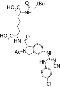 CC(=O)N1Cc2cc(NC(=NC#N)Nc3ccc(Cl)cc3)ccc2C1C(=O)NC(CCCCC(NC(=O)CC(C)(C)C)C(=O)O)C(=O)O